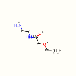 NCCNC(=O)COCC(=O)O